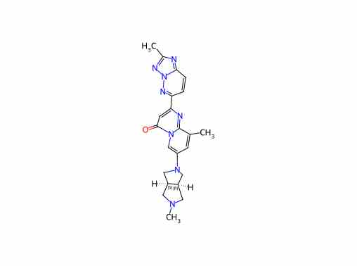 Cc1nc2ccc(-c3cc(=O)n4cc(N5C[C@H]6CN(C)C[C@H]6C5)cc(C)c4n3)nn2n1